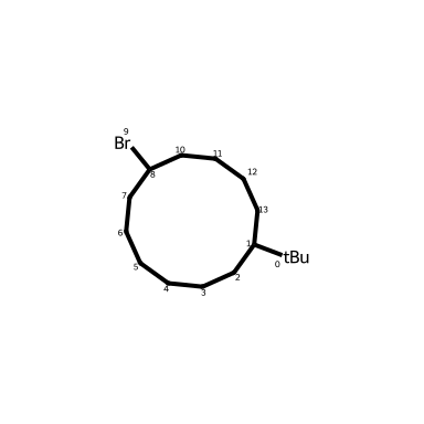 CC(C)(C)C1CCCCCCC(Br)CCCC1